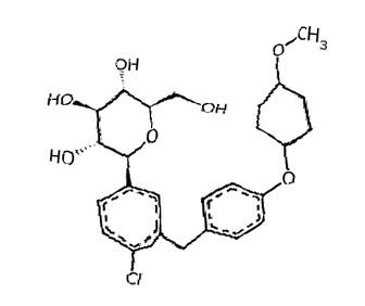 COC1CCC(Oc2ccc(Cc3cc([C@@H]4O[C@H](CO)[C@@H](O)[C@H](O)[C@H]4O)ccc3Cl)cc2)CC1